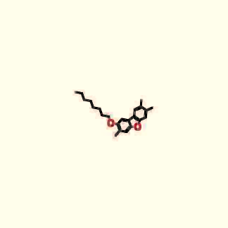 CCCCCCCCOc1cc2c(cc1C)oc1cc(C)c(C)cc12